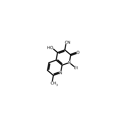 CCn1c(=O)c(C#N)c(O)c2ccc(C)nc21